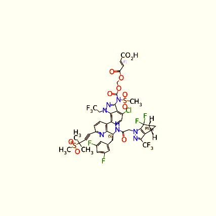 CC(C)(C#Cc1ccc(-c2ccc(Cl)c3c(N(C(=O)OCOC(=O)/C=C/C(=O)O)S(C)(=O)=O)nn(CC(F)(F)F)c23)c([C@H](Cc2cc(F)cc(F)c2)NC(=O)Cn2nc(C(F)(F)F)c3c2C(F)(F)[C@@H]2C[C@H]32)n1)S(C)(=O)=O